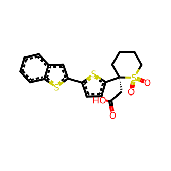 O=C(O)C[C@]1(c2ccc(-c3cc4ccccc4s3)s2)CCCCS1(=O)=O